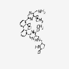 COc1nc(-c2cccc(-c3cccc(-c4cnc(CNCC5CCC(=O)N5)c(OC)n4)c3Cl)c2Cl)cnc1CN